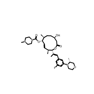 C/C(=C\c1cc(F)cc(N2CCOC[C@H]2C)c1)[C@H]1OC(=O)C[C@H](O)CC[C@H](C)[C@@H](OC(=O)N2CCN(C)CC2)/C=C/[C@@H]1C